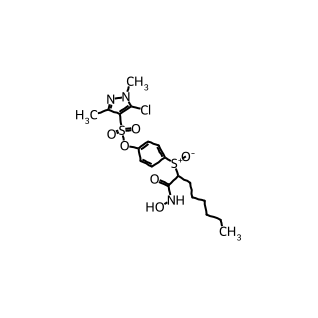 CCCCCCC(C(=O)NO)[S+]([O-])c1ccc(OS(=O)(=O)c2c(C)nn(C)c2Cl)cc1